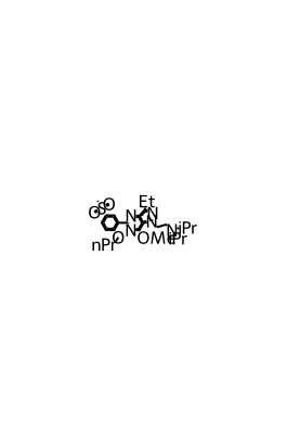 CCCOc1ccc(S(C)(=O)=O)cc1-c1nc(OC)c2c(n1)c(CC)nn2CCN(C(C)C)C(C)C